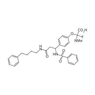 CNC(F)(Oc1ccc(C(CC(=O)NCCCCc2ccccc2)NS(=O)(=O)c2ccccc2)cc1)C(=O)O